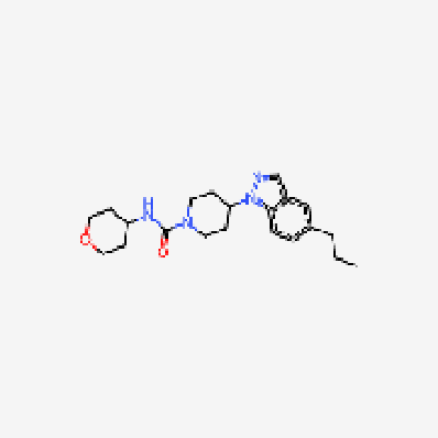 CCCc1ccc2c(cnn2C2CCN(C(=O)NC3CCOCC3)CC2)c1